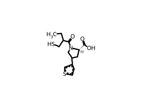 CCC(CS)C(=O)N1CC(c2ccsc2)C[C@H]1C(=O)O